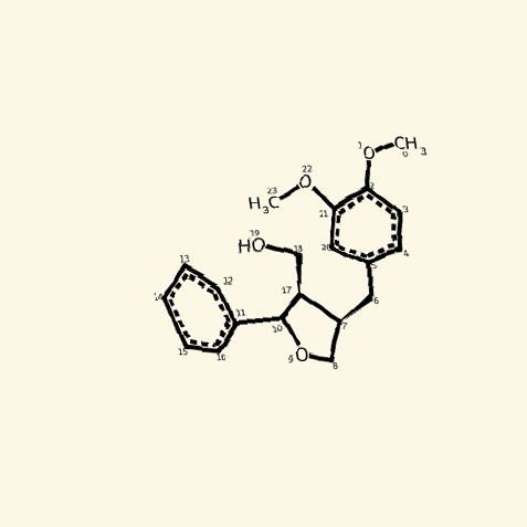 COc1ccc(C[C@H]2COC(c3ccccc3)[C@H]2CO)cc1OC